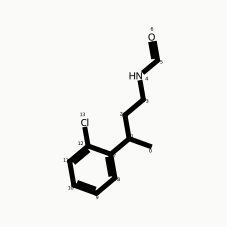 CC(CCNC=O)c1ccccc1Cl